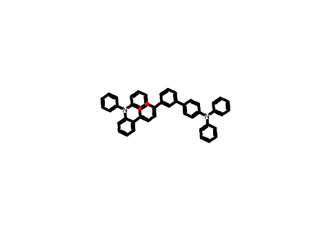 c1ccc(N(c2ccccc2)c2ccc(-c3cccc(-c4ccc(-c5ccccc5N(c5ccccc5)c5ccccc5)cc4)c3)cc2)cc1